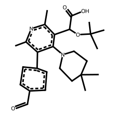 Cc1nc(C)c(C(OC(C)(C)C)C(=O)O)c(N2CCC(C)(C)CC2)c1-c1ccc(C=O)cc1